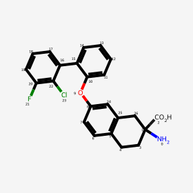 NC1(C(=O)O)CCc2ccc(Oc3ccccc3-c3cccc(F)c3Cl)cc2C1